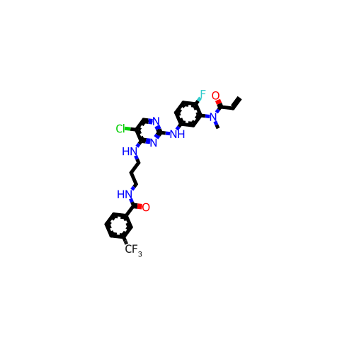 C=CC(=O)N(C)c1cc(Nc2ncc(Cl)c(NCCCNC(=O)c3cccc(C(F)(F)F)c3)n2)ccc1F